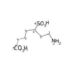 NCCC(CCCC(=O)O)S(=O)(=O)O